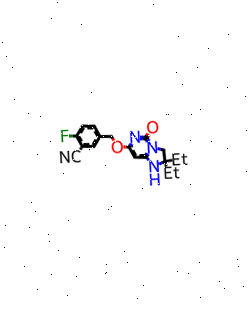 CCC1(CC)Cn2c(cc(OCc3ccc(F)c(C#N)c3)nc2=O)N1